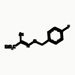 CCOC(=O)C(=NOCc1ccc(F)cc1)C(C)=O